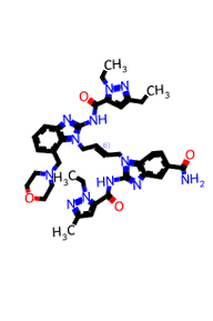 CCc1cc(C(=O)Nc2nc3cccc(CN4CCOCC4)c3n2C/C=C/Cn2c(NC(=O)c3cc(C)nn3CC)nc3cc(C(N)=O)ccc32)n(CC)n1